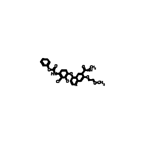 CNC(=O)c1cc2c(Oc3ccc(NC(=O)Oc4ccccc4)c(Cl)c3Cl)ccnc2cc1OCCOC